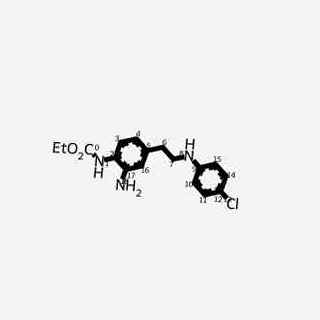 CCOC(=O)Nc1ccc(CCNc2ccc(Cl)cc2)cc1N